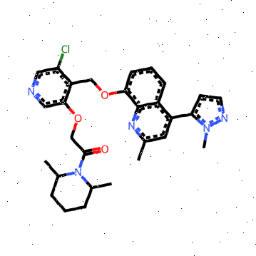 Cc1cc(-c2ccnn2C)c2cccc(OCc3c(Cl)cncc3OCC(=O)N3C(C)CCCC3C)c2n1